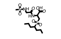 CCCC(CCC)S(=O)(=O)CC(NC(=O)CNS(C)(=O)=O)C(=O)O